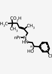 CCCN(CC(C)=CCC(C)(C)C(=O)O)NC[C@H](O)c1cccc(Cl)c1